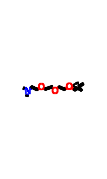 CN(C)CCOCCOCCOC[Si](C)(C)C